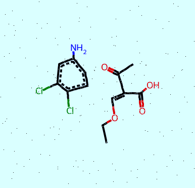 CCOC=C(C(C)=O)C(=O)O.Nc1ccc(Cl)c(Cl)c1